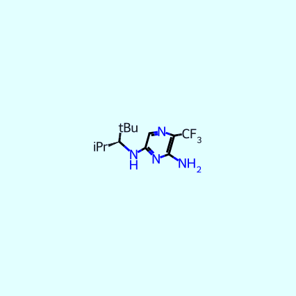 CC(C)[C@H](Nc1cnc(C(F)(F)F)c(N)n1)C(C)(C)C